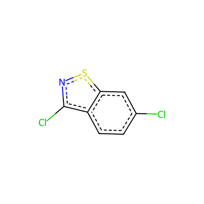 Clc1ccc2c(Cl)nsc2c1